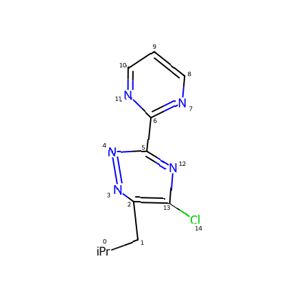 CC(C)Cc1nnc(-c2ncccn2)nc1Cl